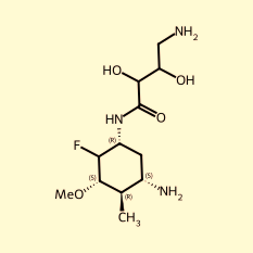 CO[C@@H]1C(F)[C@H](NC(=O)C(O)C(O)CN)C[C@H](N)[C@H]1C